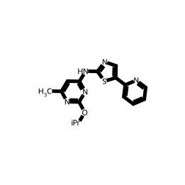 Cc1cc(Nc2ncc(-c3ccccn3)s2)nc(OC(C)C)n1